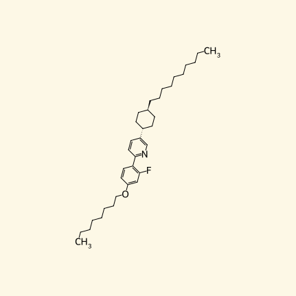 CCCCCCCCCC[C@H]1CC[C@H](c2ccc(-c3ccc(OCCCCCCCC)cc3F)nc2)CC1